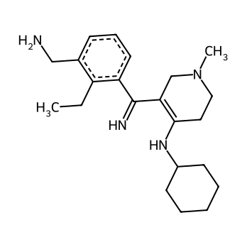 CCc1c(CN)cccc1C(=N)C1=C(NC2CCCCC2)CCN(C)C1